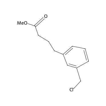 COC(=O)CCCc1cccc(CCl)c1